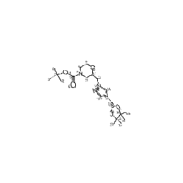 CC(C)(C)OC(=O)N1CCOC(Cn2cc(B3OC(C)(C)C(C)(C)O3)cn2)C1